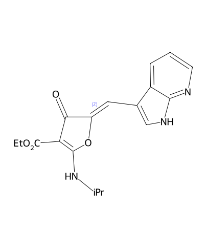 CCOC(=O)C1=C(NC(C)C)O/C(=C\c2c[nH]c3ncccc23)C1=O